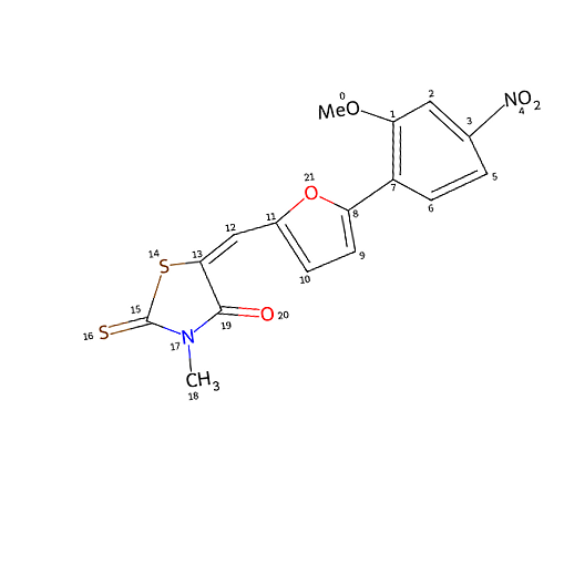 COc1cc([N+](=O)[O-])ccc1-c1ccc(/C=C2/SC(=S)N(C)C2=O)o1